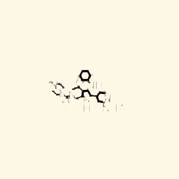 CC(=O)Nc1cc(-c2[nH]c3c(c2Nc2ccccc2)C(=O)CN(C(=O)N2CCN(C)CC2)C3)ccn1